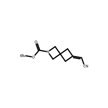 CC(C)(C)OC(=O)N1CC2(CC(=CC#N)C2)C1